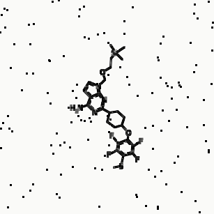 CSc1c(F)c(F)c(OC2CCC(c3nc(N)c4ccn(COCC[Si](C)(C)C)c4n3)CC2)c(F)c1F